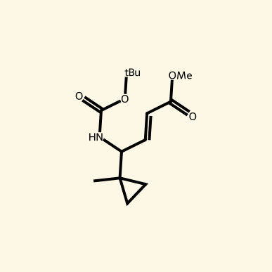 COC(=O)C=CC(NC(=O)OC(C)(C)C)C1(C)CC1